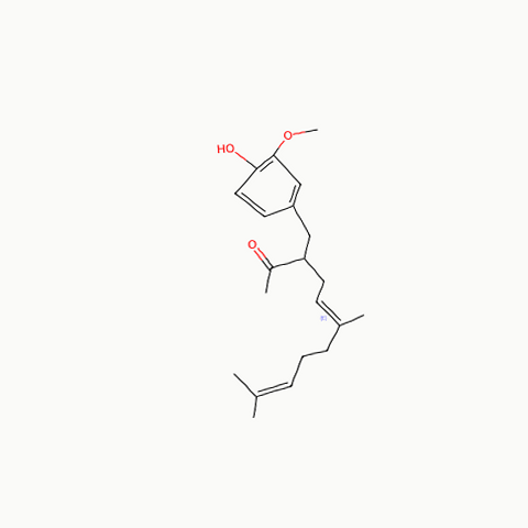 COc1cc(CC(C/C=C(\C)CCC=C(C)C)C(C)=O)ccc1O